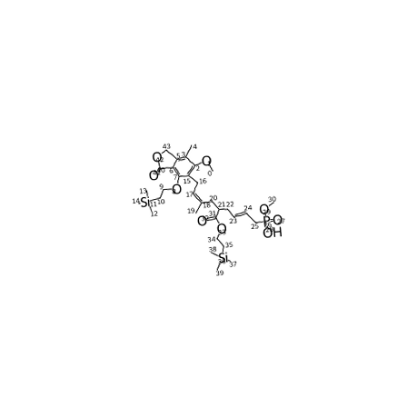 COc1c(C)c2c(c(OCC[Si](C)(C)C)c1CC=C(C)CC(CC=CCP(=O)(O)OC)C(=O)OCC[Si](C)(C)C)C(=O)OC2